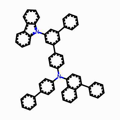 c1ccc(-c2ccc(N(c3ccc(-c4cc(-c5ccccc5)cc(-n5c6ccccc6c6ccccc65)c4)cc3)c3ccc(-c4ccccc4)c4ccccc34)cc2)cc1